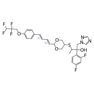 CC(SC1COC(/C=C/C=C/c2ccc(OCC(F)(F)C(F)F)cc2)OC1)C(O)(Cn1cncn1)c1ccc(F)cc1F